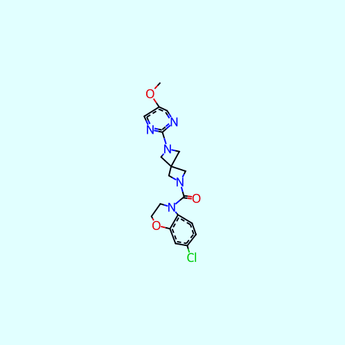 COc1cnc(N2CC3(CN(C(=O)N4CCOc5cc(Cl)ccc54)C3)C2)nc1